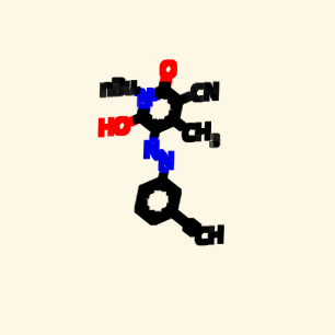 C#Cc1cccc(/N=N/c2c(C)c(C#N)c(=O)n(CCCC)c2O)c1